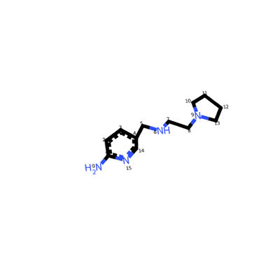 Nc1ccc(CNCCN2CCCC2)cn1